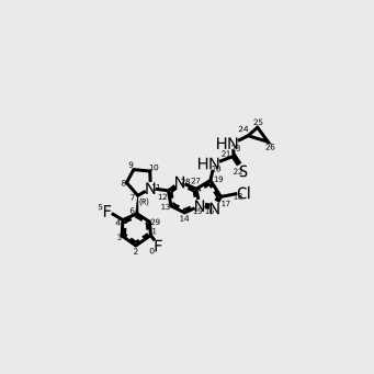 Fc1ccc(F)c([C@H]2CCCN2c2ccn3nc(Cl)c(NC(=S)NC4CC4)c3n2)c1